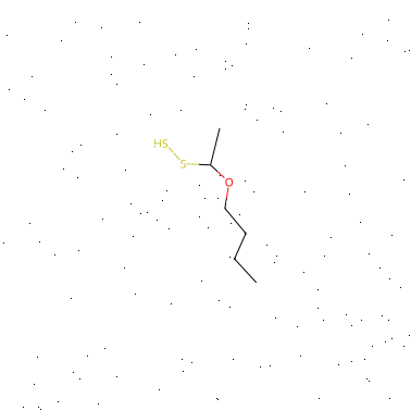 CCCCOC(C)SS